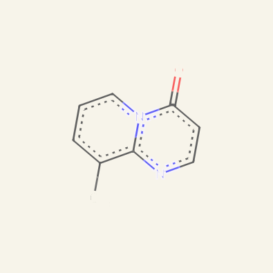 O=c1ccnc2c(C(F)(F)F)cccn12